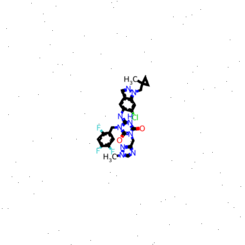 Cn1cnc(Cn2c(=O)[nH]/c(=N\c3cc4cnn(CC5(C)CC5)c4cc3Cl)n(Cc3cc(F)c(F)cc3F)c2=O)n1